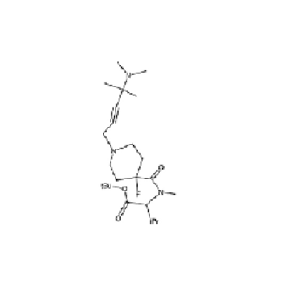 CC(C)C(C(=O)OC(C)(C)C)N(C)C(=O)C1(F)CCN(CC#CC(C)(C)N(C)C)CC1